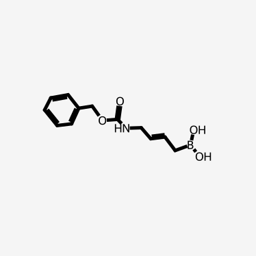 O=C(NCC=CCB(O)O)OCc1ccccc1